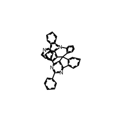 c1ccc(-c2nc(-c3ccncc3)c3c(n2)-c2ccccc2C32c3ccccc3-n3c4ccccc4c4cccc2c43)cc1